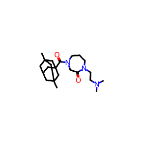 CN(C)CCN1CCCN(C(=O)C23CC4CC(C)(CC(C)(C4)C2)C3)CC1=O